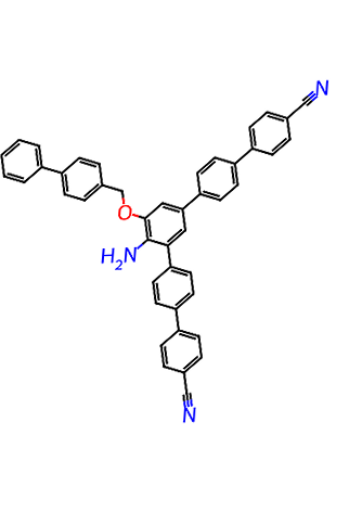 N#Cc1ccc(-c2ccc(-c3cc(OCc4ccc(-c5ccccc5)cc4)c(N)c(-c4ccc(-c5ccc(C#N)cc5)cc4)c3)cc2)cc1